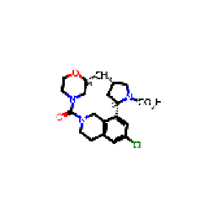 C[C@@H]1CN(C(=O)N2CCc3cc(Cl)cc([C@@H]4CCCN4C(=O)O)c3C2)CCO1